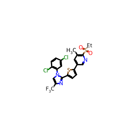 CCS(=O)(=O)c1ncc(-c2ccc(-c3nc(C(F)(F)F)cn3-c3cc(Cl)ccc3Cl)s2)cc1C